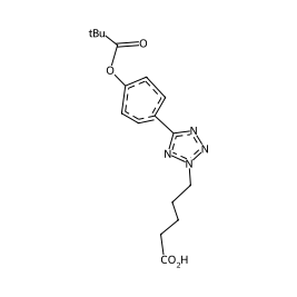 CC(C)(C)C(=O)Oc1ccc(-c2nnn(CCCCC(=O)O)n2)cc1